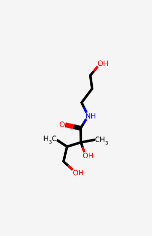 CC(CO)C(C)(O)C(=O)NCCCO